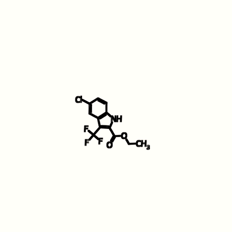 CCOC(=O)c1[nH]c2ccc(Cl)cc2c1C(F)(F)F